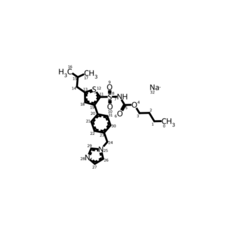 CCCCOC(=O)NS(=O)(=O)c1sc(CC(C)C)cc1-c1ccc(Cn2ccnc2)cc1.[Na]